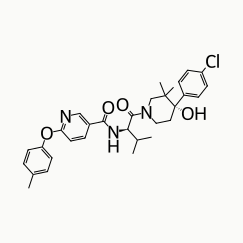 Cc1ccc(Oc2ccc(C(=O)N[C@@H](C(=O)N3CC[C@](O)(c4ccc(Cl)cc4)C(C)(C)C3)C(C)C)cn2)cc1